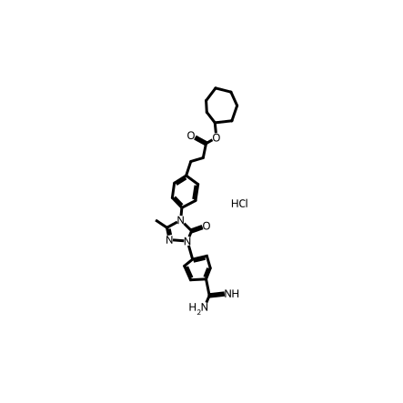 Cc1nn(-c2ccc(C(=N)N)cc2)c(=O)n1-c1ccc(CCC(=O)OC2CCCCCC2)cc1.Cl